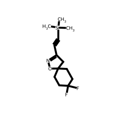 C[Si](C)(C)C#CC1=NOC2(CCC(F)(F)CC2)C1